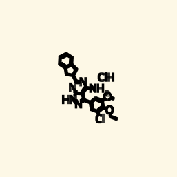 CCOc1c(Cl)cc(-c2n[nH]c3nc(C4Cc5ccccc5C4)nc(N)c23)cc1OC.Cl